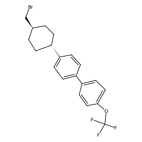 FC(F)(F)Oc1ccc(-c2ccc([C@H]3CC[C@H](CBr)CC3)cc2)cc1